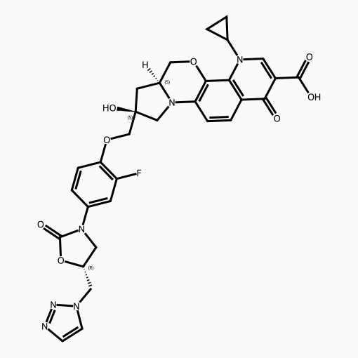 O=C(O)c1cn(C2CC2)c2c3c(ccc2c1=O)N1C[C@](O)(COc2ccc(N4C[C@H](Cn5ccnn5)OC4=O)cc2F)C[C@H]1CO3